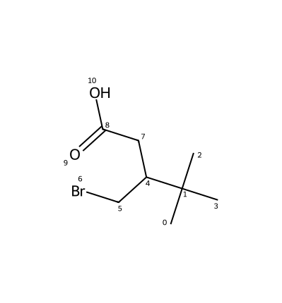 CC(C)(C)C(CBr)CC(=O)O